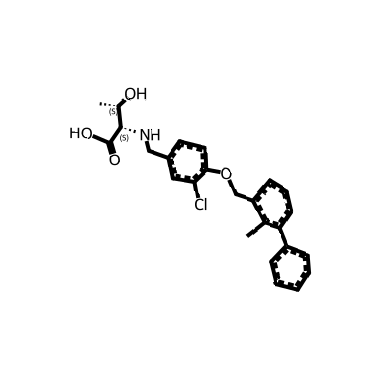 Cc1c(COc2ccc(CN[C@H](C(=O)O)[C@H](C)O)cc2Cl)cccc1-c1ccccc1